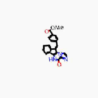 COC(=O)c1ccc(C=c2c3ccccc3c3[nH]c(=O)c4nccn4c23)cc1